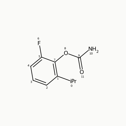 CC(C)c1cccc(F)c1OC(N)=O